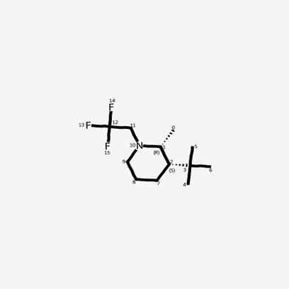 C[C@@H]1[C@H](C(C)(C)C)CCCN1CC(F)(F)F